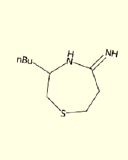 CCCCC1CSCCC(=N)N1